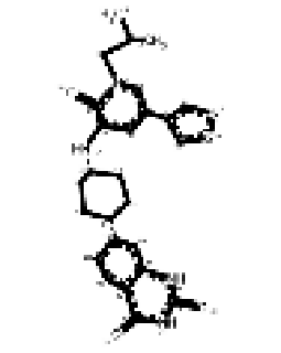 CC(C)Cn1cc(-c2cnsc2)cc(N[C@H]2CC[C@@H](c3ccc4c(=O)[nH]c(=O)[nH]c4c3)CC2)c1=O